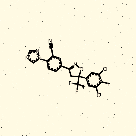 N#Cc1cc(C2=NOC(c3cc(Cl)c(F)c(Cl)c3)(C(F)(F)F)C2)ccc1-n1cncn1